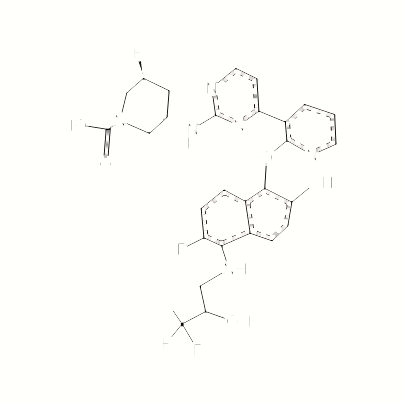 Cc1ccc2c(NCC(O)C(F)(F)F)c(F)ccc2c1Oc1ncccc1-c1ccnc(N[C@H]2C[C@H](F)CN(C(=O)O)C2)n1